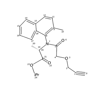 C#CCOCC(=O)N(c1c(C)ccc2ccccc12)[C@@H](C)C(=O)OC(C)C